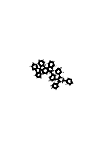 c1ccc(-c2nc(-c3ccccc3)c(-c3cccc(-c4nc5ccccc5c5c6c(ccc45)C4(c5ccccc5-c5ccccc54)c4ccccc4-6)c3)c(-c3ccccc3)n2)cc1